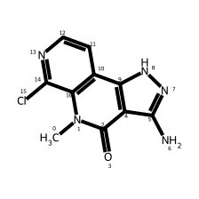 Cn1c(=O)c2c(N)n[nH]c2c2ccnc(Cl)c21